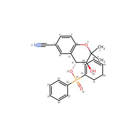 CC1(C)Oc2ccc(C#N)cc2[C@@H](OP(=O)(C2=CC=CCC2)c2ccccc2)[C@@H]1O